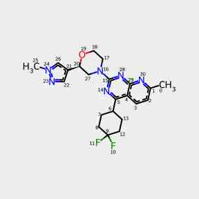 Cc1ccc2c(C3CCC(F)(F)CC3)nc(N3CCO[C@H](c4cnn(C)c4)C3)nc2n1